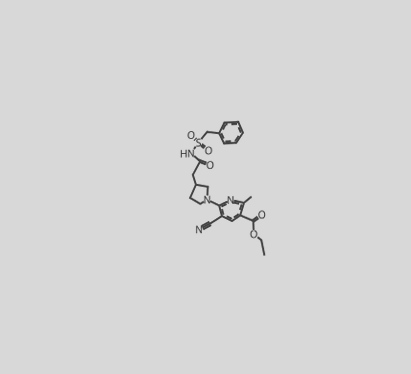 CCOC(=O)c1cc(C#N)c(N2CCC(CC(=O)NS(=O)(=O)Cc3ccccc3)C2)nc1C